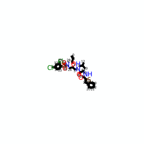 C=CCOC(CNC(=O)[C@H](CC(C)C)NC(=O)c1cc2ccccc2s1)CN(C)S(=O)(=O)c1ccc(Cl)cc1Cl